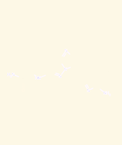 NC(=O)CNc1nn2c(-c3cnc(N)c(C(F)(F)F)c3)cnc2s1